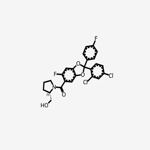 O=C(c1cc2c(cc1F)OC(c1ccc(F)cc1)(c1ccc(Cl)cc1Cl)O2)N1CCC[C@H]1CO